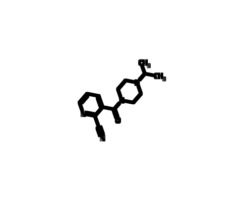 CC(C)N1CCN(C(=O)c2cccnc2C#N)CC1